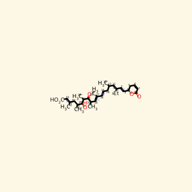 CCC(/C=C/C1CC=CC(=O)O1)=C\C(C)C/C=C/C(C)=C/C(C)C(=O)C(C)C(O)C(C)C/C(C)=C/C(=O)O